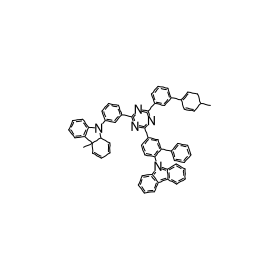 CC1C=CC(c2cccc(-c3nc(-c4cccc(N5c6ccccc6C6(C)C=CC=CC56)c4)nc(-c4ccc(-n5c6ccccc6c6ccccc65)c(-c5ccccc5)c4)n3)c2)=CC1